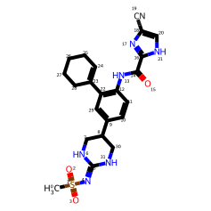 CS(=O)(=O)N=C1NCC(c2ccc(NC(=O)c3nc(C#N)c[nH]3)c(C3=CCCCC3)c2)CN1